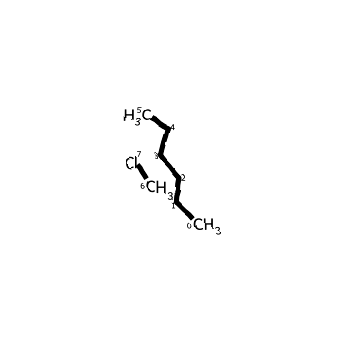 CCCCCC.CCl